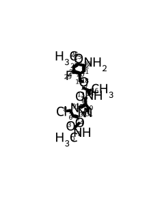 CNC(=O)Oc1cc(Cl)nc2c(C(=O)NC(C)COCc3cc(N)c(OC)cc3F)cnn12